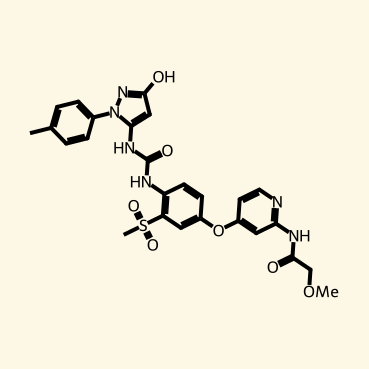 COCC(=O)Nc1cc(Oc2ccc(NC(=O)Nc3cc(O)nn3-c3ccc(C)cc3)c(S(C)(=O)=O)c2)ccn1